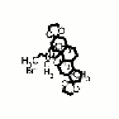 CC[N+](C)(CC)C(C)C12CCC3(CC1CCC1C2CC[C@@]2(C)C1CCC21OCCO1)OCCO3.[Br-]